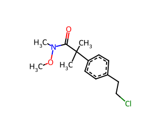 CON(C)C(=O)C(C)(C)c1ccc(CCCl)cc1